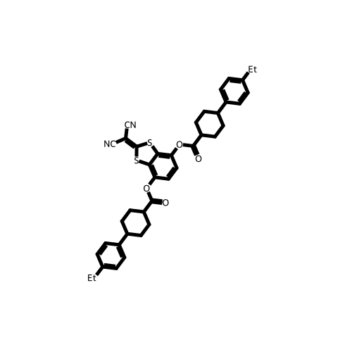 CCc1ccc(C2CCC(C(=O)Oc3ccc(OC(=O)C4CCC(c5ccc(CC)cc5)CC4)c4c3SC(=C(C#N)C#N)S4)CC2)cc1